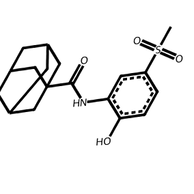 CS(=O)(=O)c1ccc(O)c(NC(=O)C23CC4CC(CC(C4)C2)C3)c1